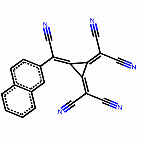 N#CC(C#N)=C1C(=C(C#N)C#N)C1=C(C#N)c1ccc2ccccc2c1